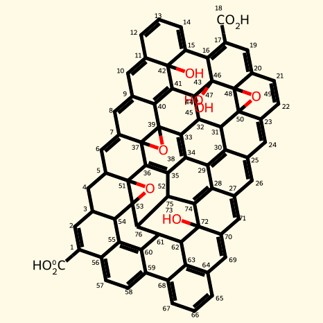 O=C(O)C1=CC2CC3C=C4C=C5C=C6C=CC=C7C8=C(C(=O)O)C=C9C=CC%10=Cc%11cc%12c%13c%14c%11C%11C%15C%16=C%14C%14=C(C4%17OC%16%17C5=C(C67O)C%15(O)C8(O)C94OC%10%114)C34OC43C2c2c1ccc1c2C2C4c5c(cccc5-1)C=C(C=%12)C4(O)C=%13C%14C23